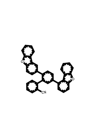 N#Cc1ccccc1-c1cc(-c2cccc3oc4ccccc4c23)ccc1-c1ccc2oc3ccccc3c2c1